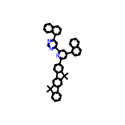 CC1(C)c2ccccc2-c2cc3c(cc21)-c1ccc(-c2cc(-c4cccc5ccccc45)cc(-c4cc(-c5cccc6ccccc56)ncn4)n2)cc1C3(C)C